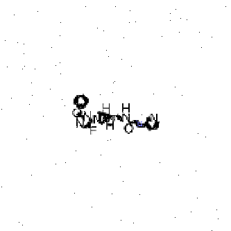 O=C(/C=C/c1cccnc1)NCC[C@@H]1[C@H]2CN(c3nc(Oc4ccccc4)ncc3F)C[C@@H]12